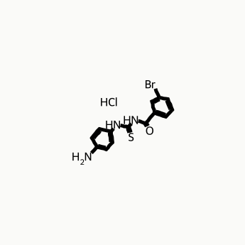 Cl.Nc1ccc(NC(=S)NC(=O)c2cccc(Br)c2)cc1